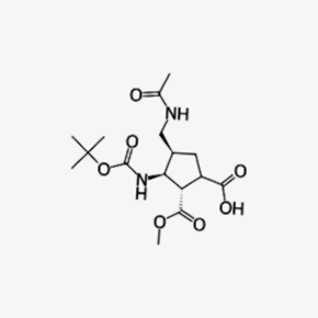 COC(=O)[C@H]1C(C(=O)O)C[C@H](CNC(C)=O)[C@@H]1NC(=O)OC(C)(C)C